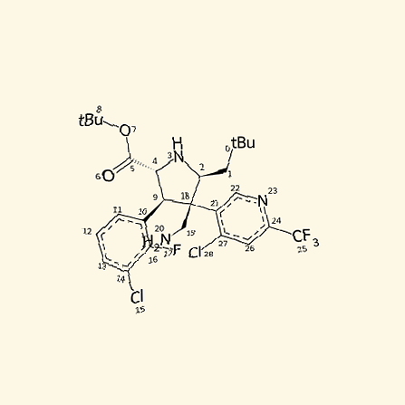 CC(C)(C)C[C@@H]1N[C@@H](C(=O)OC(C)(C)C)[C@H](c2cccc(Cl)c2F)[C@@]1(CN)c1cnc(C(F)(F)F)cc1Cl